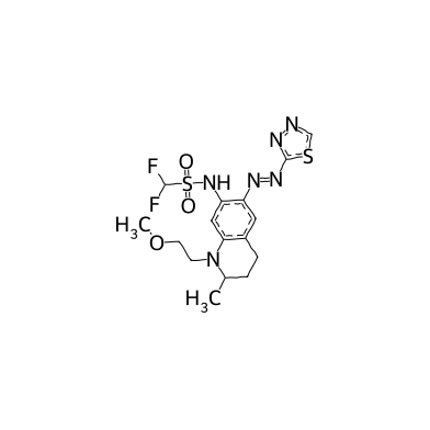 COCCN1c2cc(NS(=O)(=O)C(F)F)c(N=Nc3nncs3)cc2CCC1C